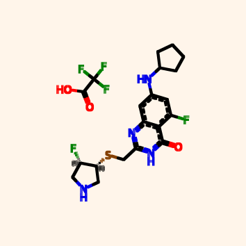 O=C(O)C(F)(F)F.O=c1[nH]c(CS[C@@H]2CNC[C@@H]2F)nc2cc(NC3CCCC3)cc(F)c12